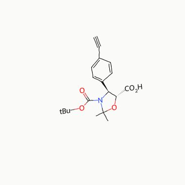 C#Cc1ccc([C@H]2[C@H](C(=O)O)OC(C)(C)N2C(=O)OC(C)(C)C)cc1